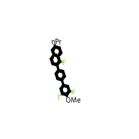 CCCc1ccc2c(F)c(-c3ccc(-c4cc(F)c(OC)c(F)c4)cc3)ccc2c1